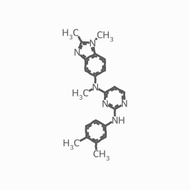 Cc1ccc(Nc2nccc(N(C)c3ccc4c(c3)nc(C)n4C)n2)cc1C